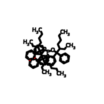 CCCCC(CC)C(OP(OC(c1ccccc1)(c1ccccc1)C(CC)CCCC)OC(c1ccccc1)(c1ccccc1)C(CC)CCCC)(c1ccccc1)c1ccccc1